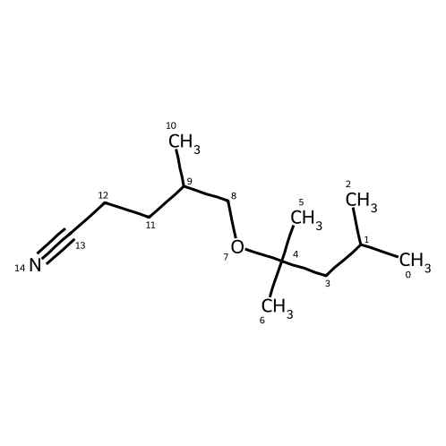 CC(C)CC(C)(C)OCC(C)CCC#N